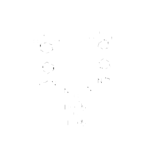 CCOc1c(OC)cc(-c2ccc(C(=O)N3CCN(CCCN4CCN(C(=O)c5ccc(-c6cc(OC)c(OCC)c(OC)c6)cc5)CC4)CC3)cc2)cc1OC.CS(=O)(=O)O.CS(=O)(=O)O